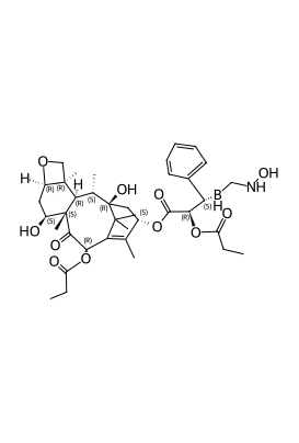 CCC(=O)O[C@H]1C(=O)[C@@]2(C)[C@H]([C@H](C)[C@]3(O)C[C@H](OC(=O)[C@H](OC(=O)CC)[C@@H](BCNO)c4ccccc4)C(C)=C1C3(C)C)[C@]1(C)CO[C@@H]1C[C@@H]2O